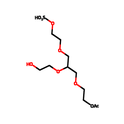 CC(=O)OCCOCC(COCCOS(=O)(=O)O)OCCO